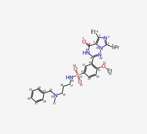 CCCc1nc(CC)c2c(=O)[nH]c(-c3cc(S(=O)(=O)NCCCN(C)Cc4ccccc4)ccc3OCC)nn12